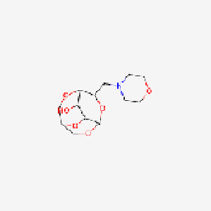 OC1C2OCCCOC(C(CN3CCOCC3)O2)C1O